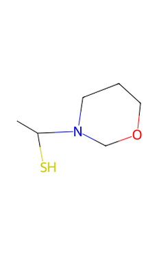 CC(S)N1CCCOC1